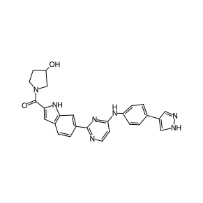 O=C(c1cc2ccc(-c3nccc(Nc4ccc(-c5cn[nH]c5)cc4)n3)cc2[nH]1)N1CCC(O)C1